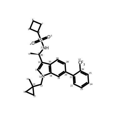 C[C@@H](NS(=O)(=O)C1CCC1)c1cn(CC2(C)CC2)c2cc(-c3ccccc3C(F)(F)F)ccc12